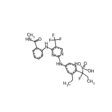 CCc1cc(Nc2ncc(C(F)(F)F)c(Nc3ccccc3C(=O)NC)n2)ccc1C(F)(CC)P(=O)(O)O